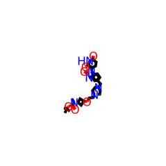 CN(C(=O)OC(C)(C)C)C1CC(OCCN2CCN(Cc3ccc4c(c3)n(C)c(=O)n4C3CCC(=O)NC3=O)CC2)C1